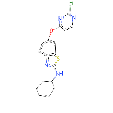 Clc1nccc(Oc2ccc3nc(NC4CCCCC4)sc3c2)n1